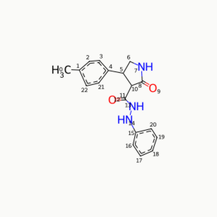 Cc1ccc(C2CNC(=O)C2C(=O)NNc2ccccc2)cc1